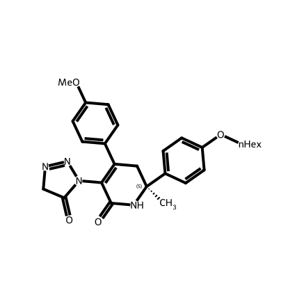 CCCCCCOc1ccc([C@]2(C)CC(c3ccc(OC)cc3)=C(N3N=NCC3=O)C(=O)N2)cc1